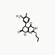 CCCSc1nc2c(c(=O)[nH]1)C(c1ccc(C)c(N)c1)CC(=O)N2